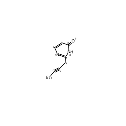 CCC#CCc1nccc(=O)[nH]1